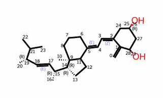 C=C1/C(=C\C=C2/CCC[C@@]3(C)C2CC[C@@H]3[C@H](C)/C=C/[C@H](C)C(C)C)C[C@@H](O)CC1O